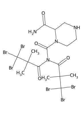 CC(C)(C(=O)N(C(=O)N1CCNCC1C(N)=O)C(=O)C(C)(C)C(Br)(Br)Br)C(Br)(Br)Br